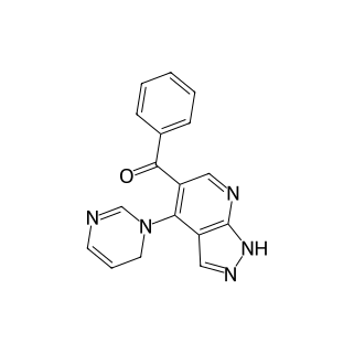 O=C(c1ccccc1)c1cnc2[nH]ncc2c1N1C=NC=CC1